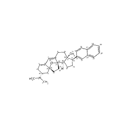 CN(C)[C@@H]1CC=C2C=C3CC[C@]4(C)[C@@H](c5ccc6ccccc6c5)CC[C@H]4[C@@]34CC[C@]2(C1)O4